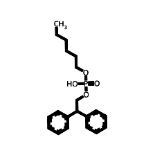 CCCCCCOP(=O)(O)OCC(c1ccccc1)c1ccccc1